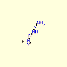 CCC1=NCCN1CCNCCNCCNCCN